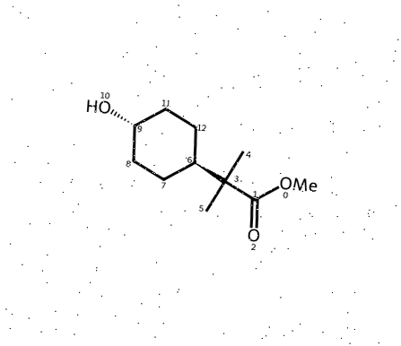 COC(=O)C(C)(C)[C@H]1CC[C@H](O)CC1